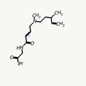 C=CC(C)CCN(C)C/C=C/C(=O)NCC(=O)C(C)C